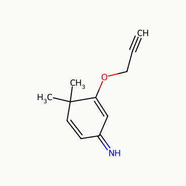 C#CCOC1=CC(=N)C=CC1(C)C